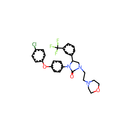 O=C1N(CCN2CCOCC2)CC(c2cccc(C(F)(F)F)c2)N1c1ccc(Oc2ccc(Cl)cc2)cc1